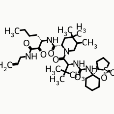 C=CCNC(=O)C(=O)[C@H](CCCC)NC(=O)[C@@H]1CC(C)(C)C(C)CN1C(=O)[C@@H](NC(=O)NC1([C@@H]2CCCS2(=O)=O)CCCCC1)C(C)(C)C